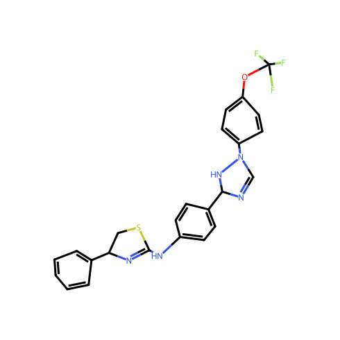 FC(F)(F)Oc1ccc(N2C=NC(c3ccc(NC4=NC(c5ccccc5)CS4)cc3)N2)cc1